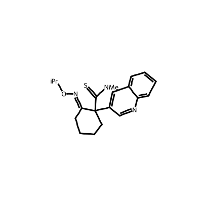 CNC(=S)C1(c2cnc3ccccc3c2)CCCCC1=NOC(C)C